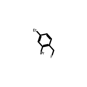 CCc1ccc(CF)c(C(C)C)c1